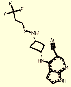 N#Cc1cnc2[nH]ccc2c1N[C@H]1C[C@@H](NSCCC(F)(F)F)C1